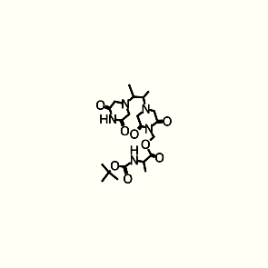 CC(NC(=O)OC(C)(C)C)C(=O)OCN1C(=O)CN(C(C)C(C)N2CC(=O)NC(=O)C2)CC1=O